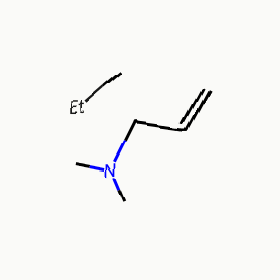 C=CCN(C)C.CCC